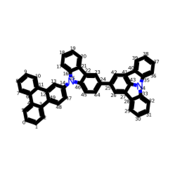 c1ccc2c(c1)c1ccccc1c1cc(-n3c4ccccc4c4cc(-c5cc6c7ccccc7n7c8ccccc8c(c5)c67)ccc43)ccc21